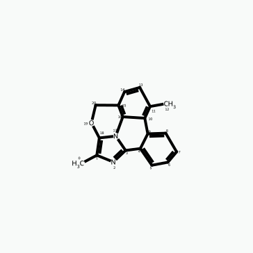 Cc1nc2c3ccccc3c3c(C)ccc4c3n2c1OC4